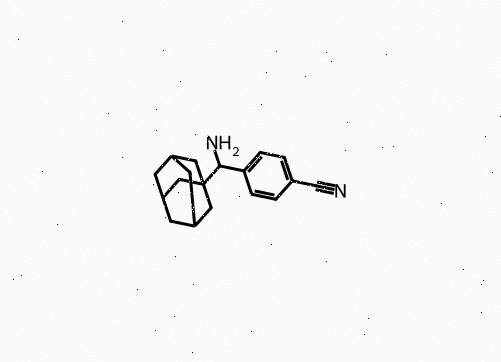 N#Cc1ccc(C(N)C23CC4CC(CC(C4)C2)C3)cc1